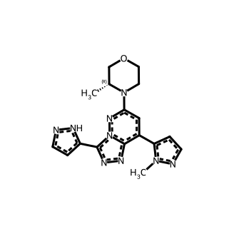 C[C@@H]1COCCN1c1cc(-c2ccnn2C)c2nnc(-c3ccn[nH]3)n2n1